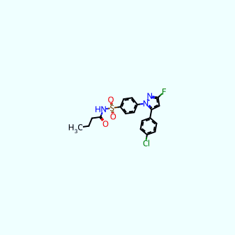 CCCC(=O)NS(=O)(=O)c1ccc(-n2nc(F)cc2-c2ccc(Cl)cc2)cc1